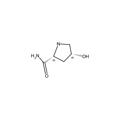 NC(=O)[C@H]1C[C@@H](O)C[N]1